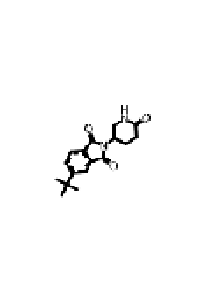 CC(C)(C)c1ccc2c(c1)C(=O)N(C1CCC(=O)NC1)C2=O